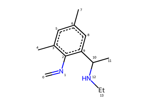 C=Nc1c(C)cc(C)cc1C(C)NCC